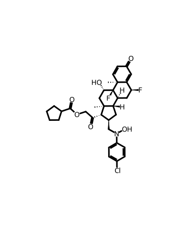 C[C@]12C[C@H](O)[C@@]3(F)[C@@H](C[C@H](F)C4=CC(=O)C=C[C@@]43C)[C@@H]1C[C@@H](CN(O)c1ccc(Cl)cc1)[C@@H]2C(=O)COC(=O)C1CCCC1